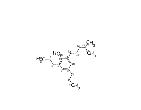 CCCc1cc(CCC)c(O)c(CCCC(C)C)c1